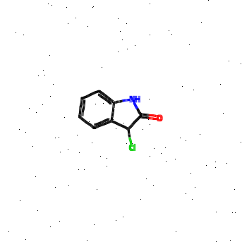 O=C1Nc2ccccc2C1Cl